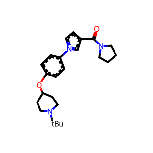 CC(C)(C)N1CCC(Oc2ccc(-n3ccc(C(=O)N4CCCC4)c3)cc2)CC1